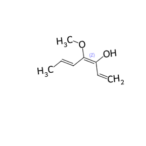 C=C/C(O)=C(\C=CC)OC